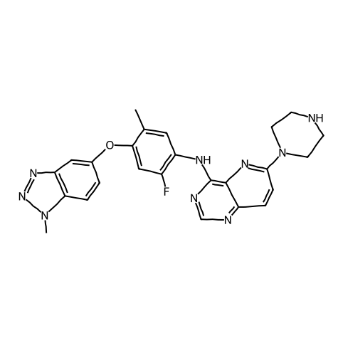 Cc1cc(Nc2ncnc3ccc(N4CCNCC4)nc23)c(F)cc1Oc1ccc2c(c1)nnn2C